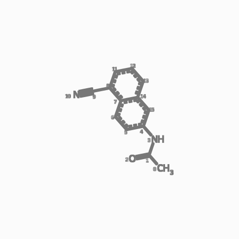 CC(=O)Nc1ccc2c(C#N)cccc2c1